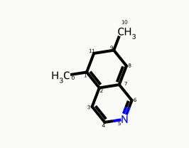 CC1=c2ccncc2=CC(C)C1